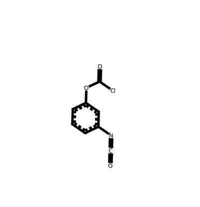 O=C=Nc1cccc(OC(=O)Cl)c1